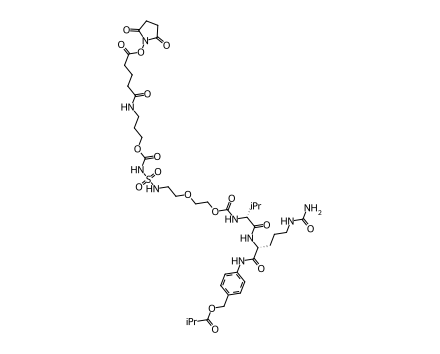 CC(C)C(=O)OCc1ccc(NC(=O)[C@@H](CCCNC(N)=O)NC(=O)[C@H](NC(=O)OCCOCCNS(=O)(=O)NC(=O)OCCCNC(=O)CCCC(=O)ON2C(=O)CCC2=O)C(C)C)cc1